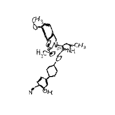 COc1ccc(CN([C@H]2C[C@@H](C)N[C@H]2COC2CCC(c3ccc(C#N)c(O)c3)CC2)S(C)(=O)=O)cc1